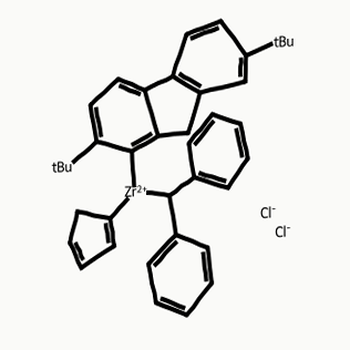 CC(C)(C)c1ccc2c(c1)Cc1c-2ccc(C(C)(C)C)[c]1[Zr+2]([C]1=CC=CC1)[CH](c1ccccc1)c1ccccc1.[Cl-].[Cl-]